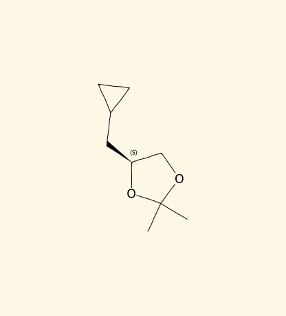 CC1(C)OC[C@H](CC2CC2)O1